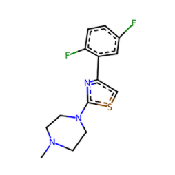 CN1CCN(c2nc(-c3cc(F)ccc3F)cs2)CC1